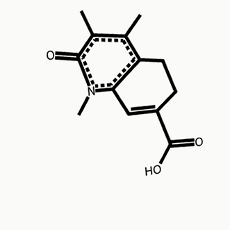 Cc1c2c(n(C)c(=O)c1C)C=C(C(=O)O)CC2